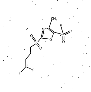 Cc1nc(S(=O)(=O)CCC=C(F)F)sc1S(=O)(=O)F